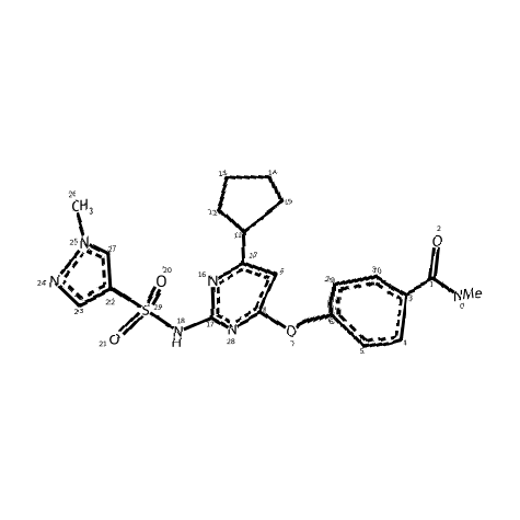 CNC(=O)c1ccc(Oc2cc(C3CCCC3)nc(NS(=O)(=O)c3cnn(C)c3)n2)cc1